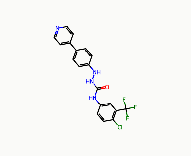 O=C(NNc1ccc(-c2ccncc2)cc1)Nc1ccc(Cl)c(C(F)(F)F)c1